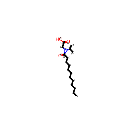 CCCCCCCCCCCC(=O)N(CC(=O)O)C(C)C